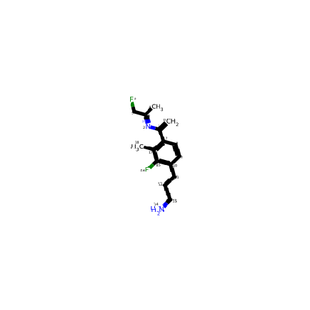 C=C(/N=C(\C)CF)c1ccc(CCCN)c(F)c1C